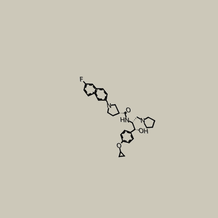 O=C(N[C@H](CN1CCCC1)[C@H](O)c1ccc(OC2CC2)cc1)[C@@H]1CCN(c2ccc3cc(F)ccc3c2)C1